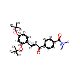 CN(C)C(=O)c1ccc(C(=O)/C=C/c2ccc(OC(C)(C)C)cc2OC(C)(C)C)cc1